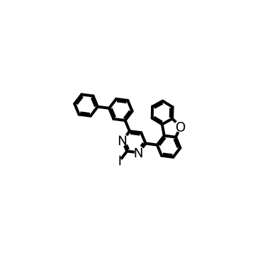 Ic1nc(-c2cccc(-c3ccccc3)c2)cc(-c2cccc3oc4ccccc4c23)n1